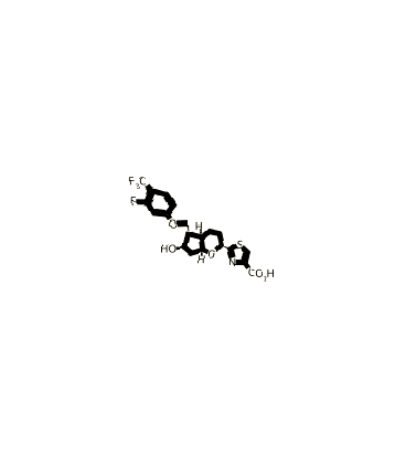 O=C(O)c1csc([C@H]2CC[C@@H]3[C@@H](COc4ccc(C(F)(F)F)c(F)c4)[C@H](O)C[C@@H]3O2)n1